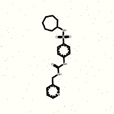 O=C(NCc1cccnc1)Nc1ccc(S(=O)(=O)NC2CCCCCC2)cc1